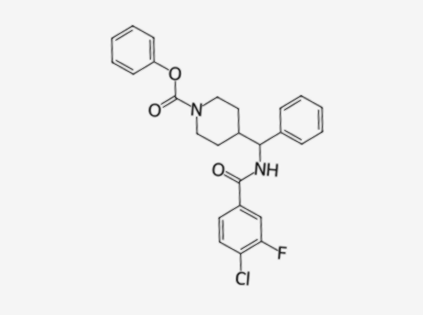 O=C(NC(c1ccccc1)C1CCN(C(=O)Oc2ccccc2)CC1)c1ccc(Cl)c(F)c1